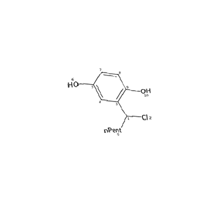 CCCCCC(Cl)c1cc(O)ccc1O